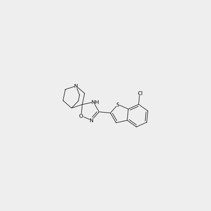 Clc1cccc2cc(C3=NOC4(CN5CCC4CC5)N3)sc12